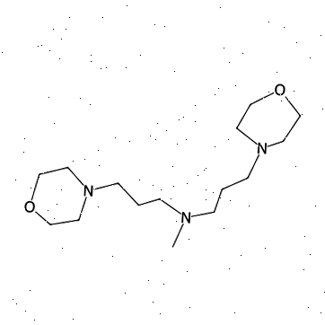 CN(CCCN1CCOCC1)CCCN1CCOCC1